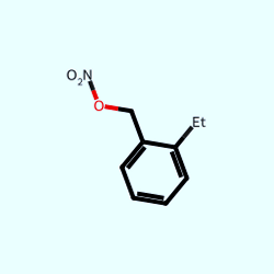 CCc1ccccc1CO[N+](=O)[O-]